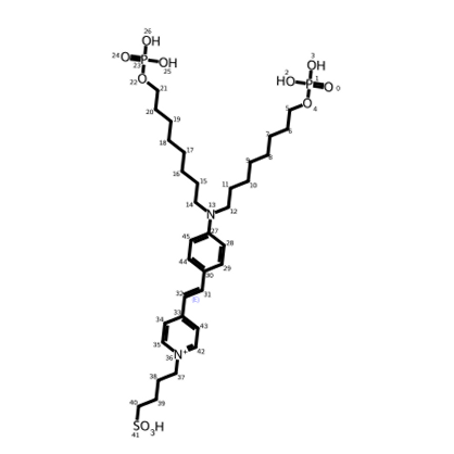 O=P(O)(O)OCCCCCCCCN(CCCCCCCCOP(=O)(O)O)c1ccc(/C=C/c2cc[n+](CCCCS(=O)(=O)O)cc2)cc1